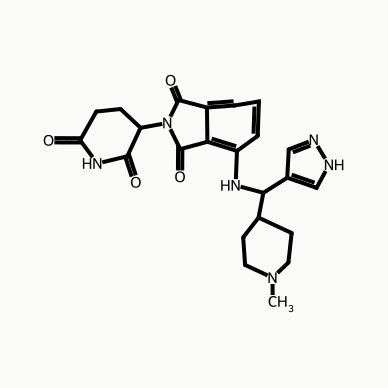 CN1CCC(C(Nc2cccc3c2C(=O)N(C2CCC(=O)NC2=O)C3=O)c2cn[nH]c2)CC1